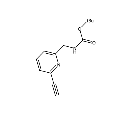 C#Cc1cccc(CNC(=O)OC(C)(C)C)n1